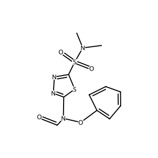 CN(C)S(=O)(=O)c1nnc(N(C=O)Oc2ccccc2)s1